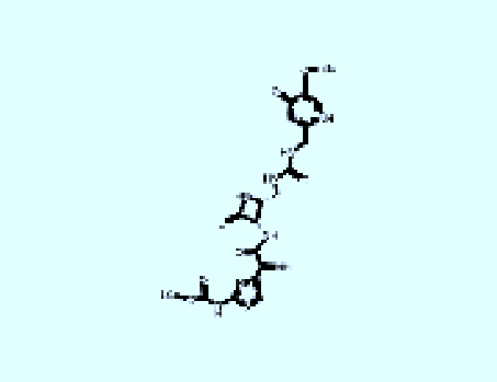 CCCCOc1c[nH]c(CNC(=O)NC[C@H]2NC(=O)[C@H]2NC(=O)C(=N)c2csc(NC(=O)OC(C)(C)C)n2)cc1=O